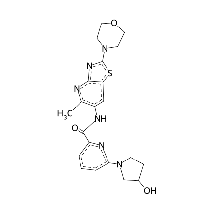 Cc1nc2nc(N3CCOCC3)sc2cc1NC(=O)c1cccc(N2CCC(O)C2)n1